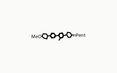 CCCCCC1CCC(c2ccc(-c3ccc(C4CCC(OC)CC4)cc3)c(C)c2)CC1